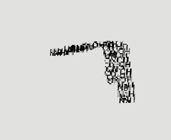 O=NO.O=NO.O=NO.O=NO.O=NO.O=NO.O=NO.O=NO.O=NO.O=NO.O=NO.O=NO.O=NO.[NaH].[NaH].[NaH].[NaH].[NaH].[NaH].[NaH].[NaH].[NaH].[NaH].[NaH]